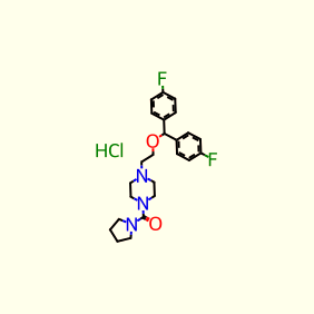 Cl.O=C(N1CCCC1)N1CCN(CCOC(c2ccc(F)cc2)c2ccc(F)cc2)CC1